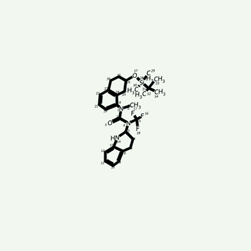 CN(C(=O)N(C1CCc2ccccc2N1)C(F)(F)F)c1cccc2c1CC(O[Si](C)(C)C(C)(C)C)CC2